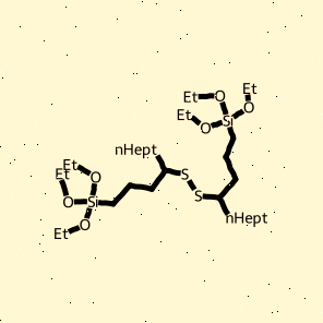 CCCCCCCC(CCC[Si](OCC)(OCC)OCC)SSC(CCCCCCC)CCC[Si](OCC)(OCC)OCC